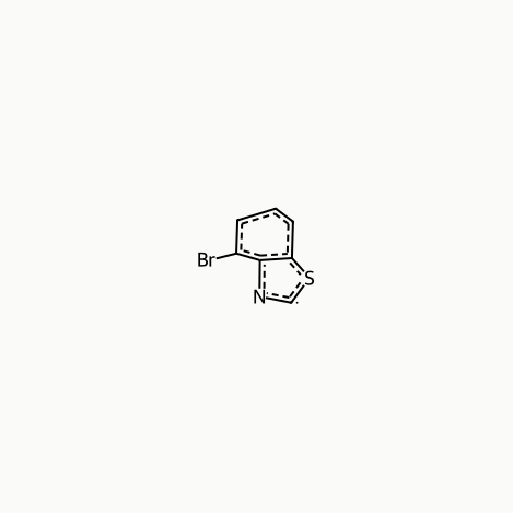 Brc1cccc2s[c]nc12